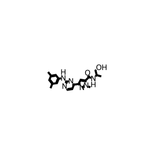 Cc1cc(C)cc(Nc2nccc(-c3cc(C(=O)NC(C)CO)n(C)n3)n2)c1